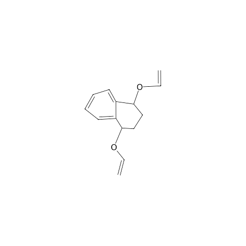 C=COC1CCC(OC=C)c2ccccc21